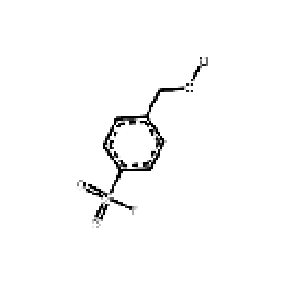 O=S(=O)(F)c1ccc(COCl)cc1